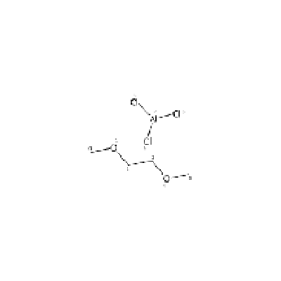 COCCOC.[Cl][Al]([Cl])[Cl]